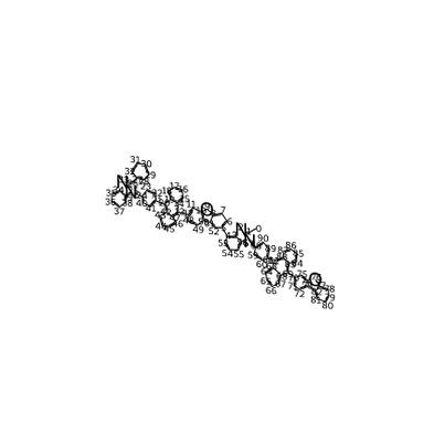 Cc1nc2c(-c3ccc4oc5cc(-c6c7ccccc7c(-c7ccc(-n8c(-c9ccccc9)nc9ccccc98)cc7)c7ccccc67)ccc5c4c3)cccc2n1-c1ccc(-c2c3ccccc3c(-c3ccc4c(c3)oc3ccccc34)c3ccccc23)cc1